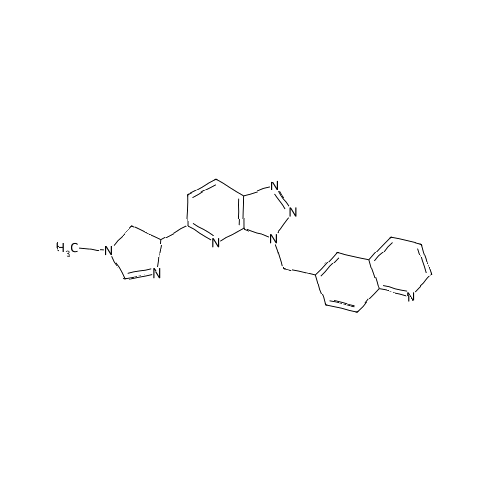 CN1C=NC(c2ccc3nnn(Cc4ccc5ncccc5c4)c3n2)C1